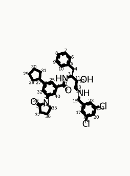 O=C(N[C@@H](Cc1ccccc1)[C@H](O)CNCc1cc(Cl)cc(Cl)c1)c1cc(C2CCCC2)cc(N2CCCC2=O)c1